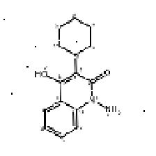 Nn1c(=O)c(C2CCCCC2)c(O)c2ccccc21